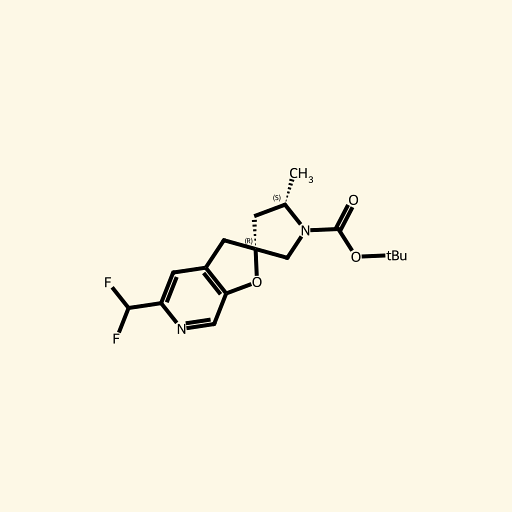 C[C@H]1C[C@]2(Cc3cc(C(F)F)ncc3O2)CN1C(=O)OC(C)(C)C